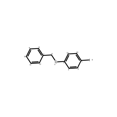 Ic1[c]cc(OCc2ccccc2)cc1